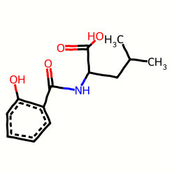 CC(C)CC(NC(=O)c1ccccc1O)C(=O)O